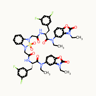 CCN(C(=O)[C@H](Cc1cc(F)cc(F)c1)NC(=O)CN1c2ccccc2N(CC(=O)N[C@@H](Cc2cc(F)cc(F)c2)C(=O)N(CC)c2ccc3oc(=O)n(CC)c3c2)S1(=O)=O)c1ccc2oc(=O)n(CC)c2c1